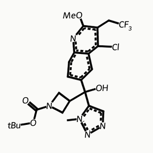 COc1nc2ccc(C(O)(c3cnnn3C)C3CN(C(=O)OC(C)(C)C)C3)cc2c(Cl)c1CC(F)(F)F